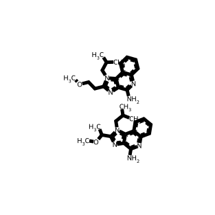 COC(C)c1nc2c(N)nc3ccccc3c2n1CC(C)C.COCCc1nc2c(N)nc3ccccc3c2n1CC(C)C